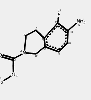 CC(C)(C)OC(=O)N1CCc2c(ccc(N)c2F)C1